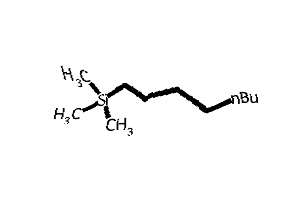 CCCCCCCC[Si](C)(C)C